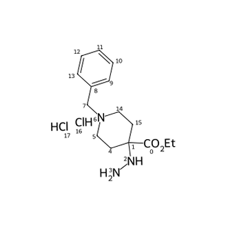 CCOC(=O)C1(NN)CCN(Cc2ccccc2)CC1.Cl.Cl